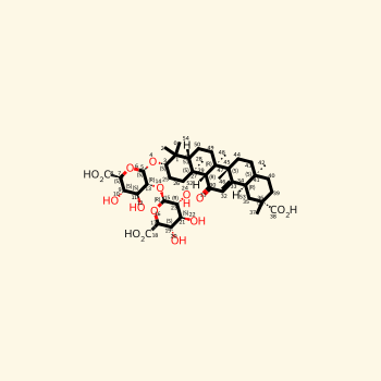 CC1(C)[C@@H](O[C@H]2O[C@H](C(=O)O)[C@@H](O)[C@H](O)[C@H]2O[C@@H]2OC(C(=O)O)[C@@H](O)[C@H](O)[C@H]2O)CC[C@]2(C)[C@H]3C(=O)C=C4[C@@H]5C[C@@](C)(C(=O)O)CC[C@]5(C)CC[C@@]4(C)[C@]3(C)CC[C@@H]12